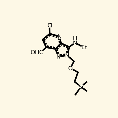 CCNc1c2nc(Cl)cc(C=O)c2nn1COCC[Si](C)(C)C